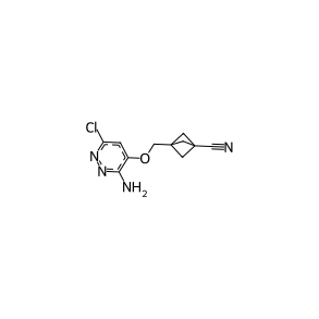 N#CC12CC(COc3cc(Cl)nnc3N)(C1)C2